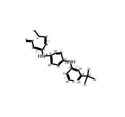 C=C/C=C(\C=C/CC)Nc1ccc(NC(/C=C\C)=C/C(=C)C(C)(C)C)cc1